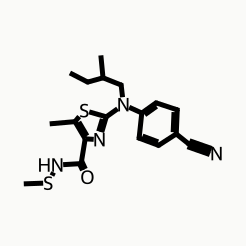 CCC(C)CN(c1ccc(C#N)cc1)c1nc(C(=O)NSC)c(C)s1